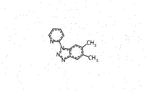 Cc1cc2nnn(-c3ccccn3)c2cc1C